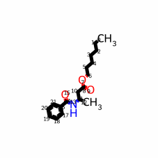 CCCCCCCOC(=O)CC(C)NC(=O)c1ccccc1